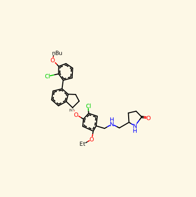 CCCCOc1cccc(-c2cccc3c2CC[C@@H]3Oc2cc(OCC)c(CNCC3CCC(=O)N3)cc2Cl)c1Cl